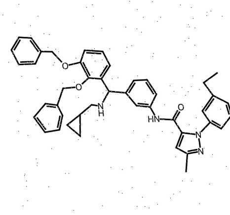 CCc1cccc(-n2nc(C)cc2C(=O)Nc2cccc(C(NCC3CC3)c3cccc(OCc4ccccc4)c3OCc3ccccc3)c2)c1